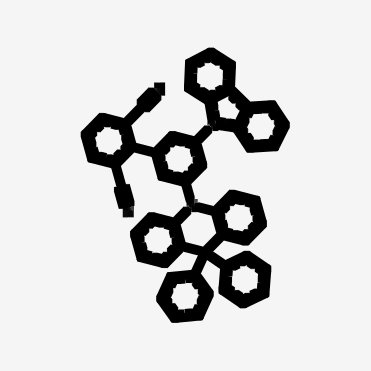 N#Cc1cccc(C#N)c1-c1cc(N2c3ccccc3C(c3ccccc3)(c3ccccc3)c3ccccc32)cc(-n2c3ccccc3c3ccccc32)c1